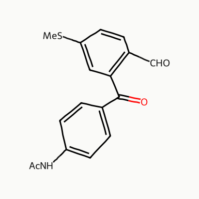 CSc1ccc(C=O)c(C(=O)c2ccc(NC(C)=O)cc2)c1